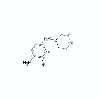 Nc1ccc(NC2CCNCC2)cc1F